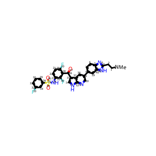 CNCCc1nc2ccc(-c3cnc4[nH]cc(C(=O)c5c(F)ccc(NS(=O)(=O)c6cccc(F)c6)c5F)c4c3)cc2[nH]1